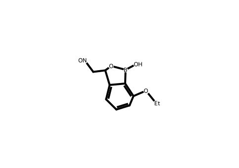 CCOc1cccc2c1B(O)OC2CN=O